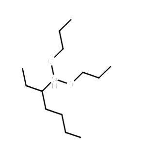 CCCCC(CC)[SiH](OCCC)OCCC